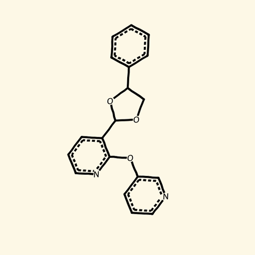 c1ccc(C2COC(c3cccnc3Oc3cccnc3)O2)cc1